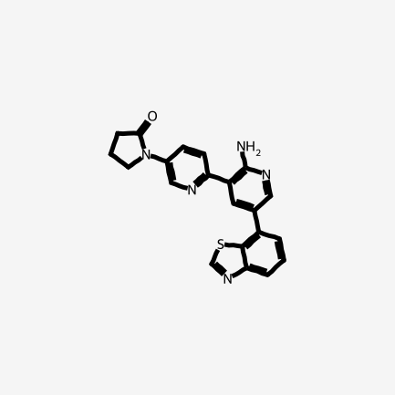 Nc1ncc(-c2cccc3ncsc23)cc1-c1ccc(N2CCCC2=O)cn1